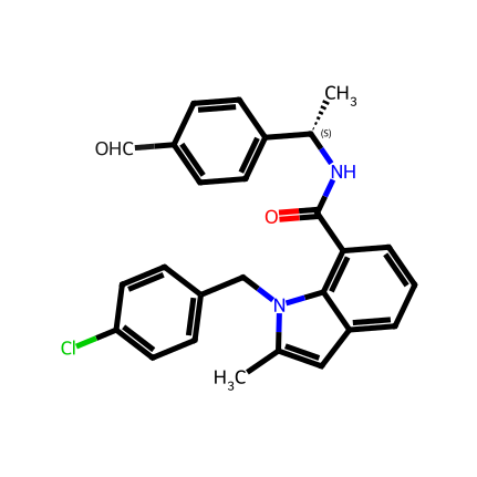 Cc1cc2cccc(C(=O)N[C@@H](C)c3ccc(C=O)cc3)c2n1Cc1ccc(Cl)cc1